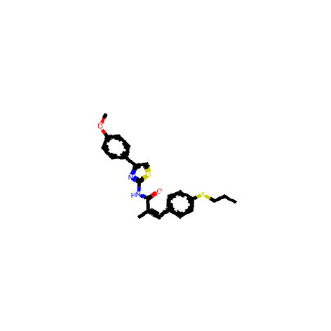 CCCSc1ccc(/C=C(/C)C(=O)Nc2nc(-c3ccc(OC)cc3)cs2)cc1